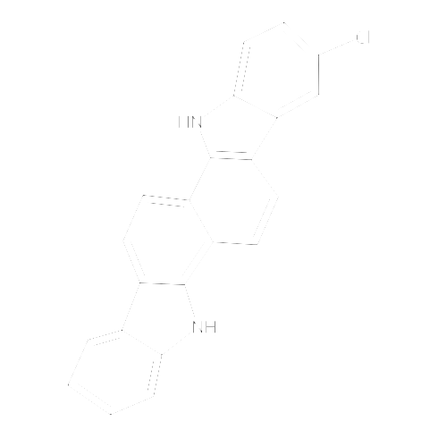 Clc1ccc2[nH]c3c(ccc4c3ccc3c5ccccc5[nH]c34)c2c1